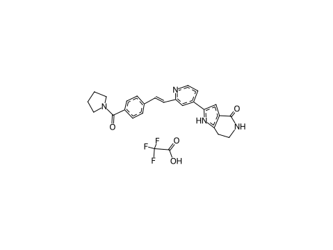 O=C(O)C(F)(F)F.O=C1NCCc2[nH]c(-c3ccnc(/C=C/c4ccc(C(=O)N5CCCC5)cc4)c3)cc21